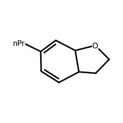 CCCC1=CC2OCCC2C=C1